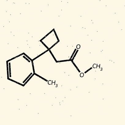 COC(=O)CC1(c2ccccc2C)CCC1